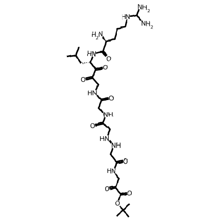 CC(C)C[C@H](NC(=O)[C@@H](N)CCCNC(N)N)C(=O)C(=O)CNC(=O)CNC(=O)CNNCC(=O)NCC(=O)C(=O)OC(C)(C)C